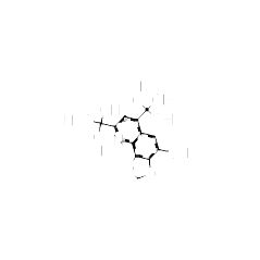 Cc1cc2c(C(C)(C)C)cc(C(C)(C)C)nc2c2c1OCO2